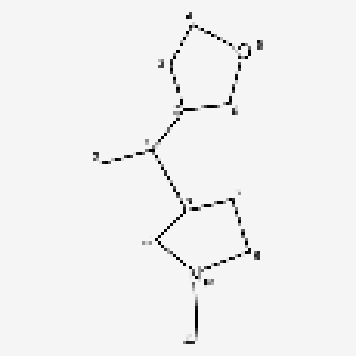 C[C](C1CCOC1)C1CCN(C)C1